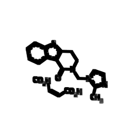 Cc1nccn1CN1CCc2sc3ccccc3c2C1=O.O=C(O)/C=C\C(=O)O